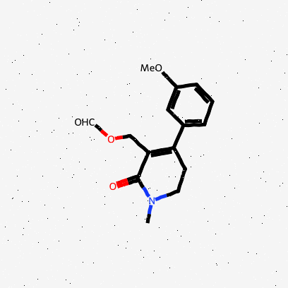 COc1cccc(C2=C(COC=O)C(=O)N(C)CC2)c1